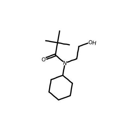 CC(C)(C)C(=O)N(CCO)C1CCCCC1